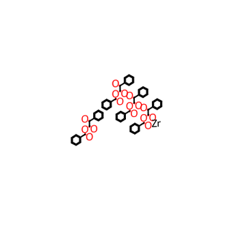 O=C(OC(=O)c1ccccc1)C(=O)c1ccccc1.O=C(OC(=O)c1ccccc1)C(=O)c1ccccc1.O=C(OC(=O)c1ccccc1)C(=O)c1ccccc1.O=C(OC(=O)c1ccccc1)C(=O)c1ccccc1.[Zr]